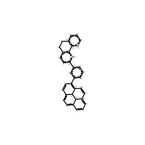 C1=CC2=CC=C3C=CC(c4cccc(-c5ccc6c(n5)-c5ncccc5CC6)c4)=C4C=CC(=C1)C2C34